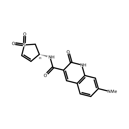 CNc1ccc2cc(C(=O)N[C@@H]3C=CS(=O)(=O)C3)c(=O)[nH]c2c1